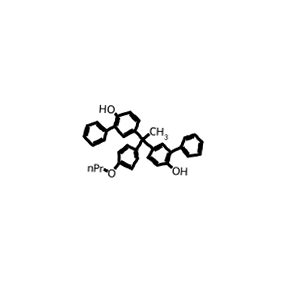 CCCOc1ccc(C(C)(c2ccc(O)c(-c3ccccc3)c2)c2ccc(O)c(-c3ccccc3)c2)cc1